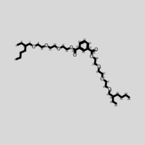 CCCCC(CC)COCCOCCOCCOC(=O)c1cccc(C(=O)OCCOCCOCCOCC(CC)CCCC)c1